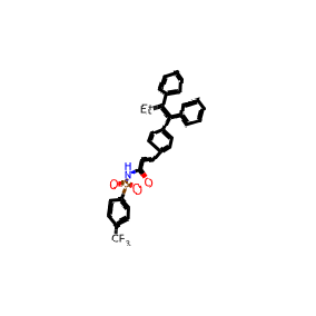 CCC(=C(c1ccccc1)c1ccc(C=CC(=O)NS(=O)(=O)c2ccc(C(F)(F)F)cc2)cc1)c1ccccc1